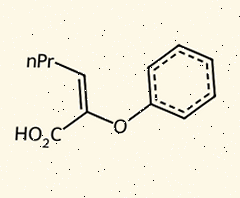 CCCC=C(Oc1ccccc1)C(=O)O